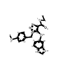 CCOC(=O)c1nnn(Cc2ccc(OC)cc2)c1Oc1ccc2ncsc2c1